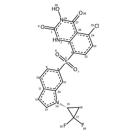 O=c1[nH]c2c(S(=O)(=O)c3ccc4ccn([C@@H]5CC5(F)F)c4c3)ccc(Cl)c2c(=O)n1O